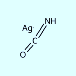 N=C=O.[Ag]